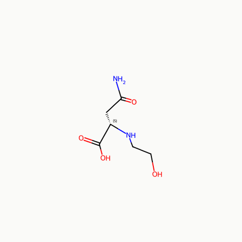 NC(=O)C[C@H](NCCO)C(=O)O